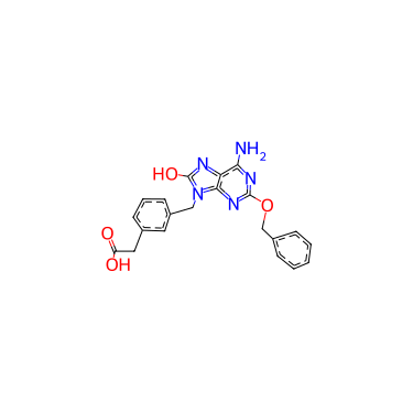 Nc1nc(OCc2ccccc2)nc2c1nc(O)n2Cc1cccc(CC(=O)O)c1